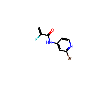 C=C(F)C(=O)Nc1ccnc(Br)c1